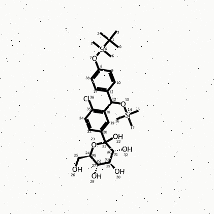 CC(C)(C)[Si](C)(C)Oc1ccc(C(O[Si](C)(C)C)c2cc(C3(O)O[C@H](CO)[C@@H](O)[C@H](O)[C@H]3O)ccc2Cl)cc1